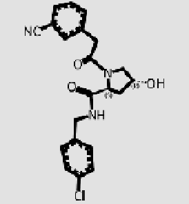 N#Cc1cccc(CC(=O)N2C[C@H](O)C[C@H]2C(=O)NCc2ccc(Cl)cc2)c1